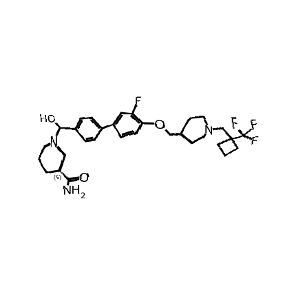 NC(=O)[C@H]1CCCN(C(O)c2ccc(-c3ccc(OCC4CCN(CC5(C(F)(F)F)CCC5)CC4)c(F)c3)cc2)C1